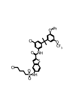 CC(C)Oc1cc(OC(F)(F)F)cc(C(C)(C)c2cc(Cl)cc(NC(=O)c3cc4cc(NS(=O)(=O)CCCCCl)ccc4s3)c2)c1